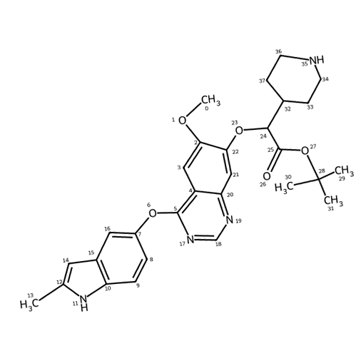 COc1cc2c(Oc3ccc4[nH]c(C)cc4c3)ncnc2cc1OC(C(=O)OC(C)(C)C)C1CCNCC1